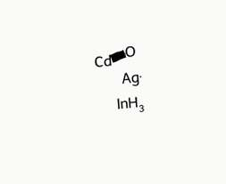 [Ag].[InH3].[O]=[Cd]